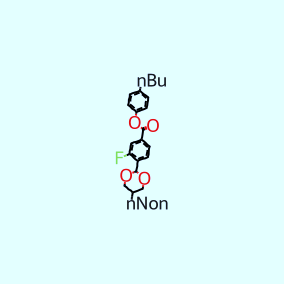 CCCCCCCCCC1COC(c2ccc(C(=O)Oc3ccc(CCCC)cc3)cc2F)OC1